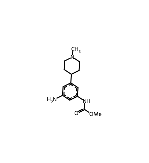 COC(=O)Nc1cc(N)cc(C2CCN(C)CC2)c1